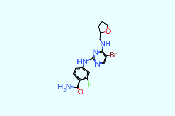 NC(=O)c1ccc(Nc2ncc(Br)c(NCC3CCCO3)n2)cc1F